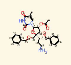 CC(=O)O[C@H]1[C@H](n2cc(C)c(=O)[nH]c2=O)O[C@](CCCN)(COCc2ccccc2)[C@H]1OCc1ccccc1